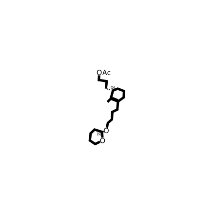 CC(=O)OCCC[C@@H]1CCCC(CCCCO[C@@H]2CCCCO2)=C1C